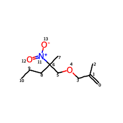 C=C(C)COCC(C)(CCC)[N+](=O)[O-]